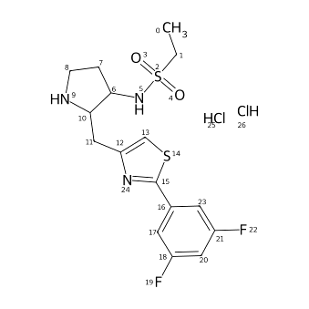 CCS(=O)(=O)NC1CCNC1Cc1csc(-c2cc(F)cc(F)c2)n1.Cl.Cl